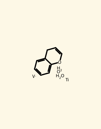 C1=COc2ccccc2C1.O.O.[Ti].[V]